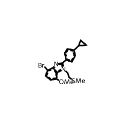 COc1ccc(Br)c2nc(-c3ccc(C4CC4)cc3)n(CCSC)c12